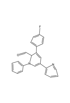 O=CC1C(c2ccc(F)cc2)=CC(c2ccccn2)=CN1c1ccccc1